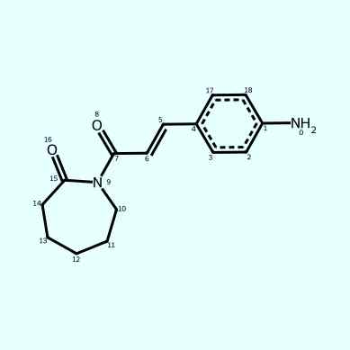 Nc1ccc(/C=C/C(=O)N2CCCCCC2=O)cc1